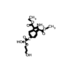 CCOC(=O)c1c2ccc(CC(=O)N(O)OCCCO)ccc-2c(C(=O)OCC)c1N